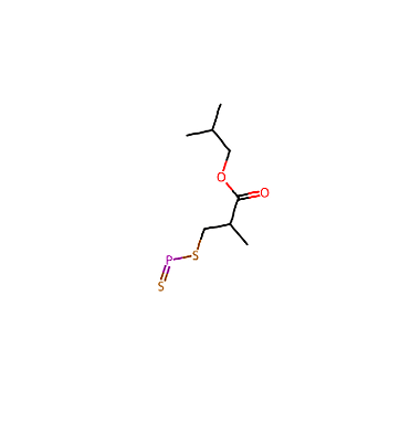 CC(C)COC(=O)C(C)CSP=S